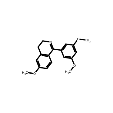 COc1cc(OC)cc(C2=NCCc3cc(OC)ccc32)c1